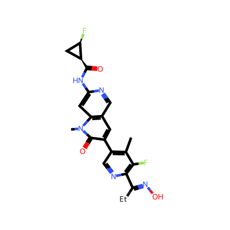 CC/C(=N\O)c1ncc(-c2cc3cnc(NC(=O)[C@H]4C[C@H]4F)cc3n(C)c2=O)c(C)c1F